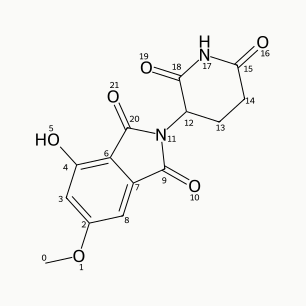 COc1cc(O)c2c(c1)C(=O)N(C1CCC(=O)NC1=O)C2=O